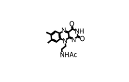 CC(=O)NCCn1c2nc(=O)[nH]c(=O)c-2nc2cc(C)c(C)cc21